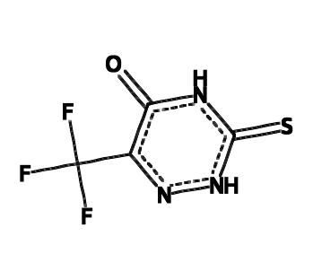 O=c1[nH]c(=S)[nH]nc1C(F)(F)F